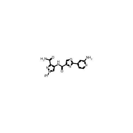 CC(C)n1cc(NC(=O)c2coc(-c3ccnc(N)c3)n2)c(C(N)=O)n1